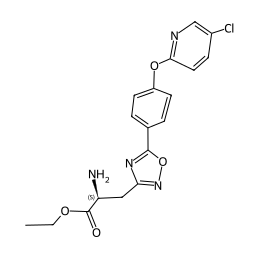 CCOC(=O)[C@@H](N)Cc1noc(-c2ccc(Oc3ccc(Cl)cn3)cc2)n1